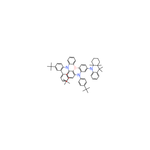 CC(C)(C)c1ccc(N2c3cc(N4c5ccccc5C(C)(C)C5(C)CCCCC45C)ccc3B3c4ccccc4N(c4ccc(C(C)(C)C)cc4-c4ccccc4)c4cc(C(C)(C)C)cc2c43)cc1